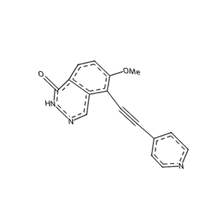 COc1ccc2c(=O)[nH]ncc2c1C#Cc1ccncc1